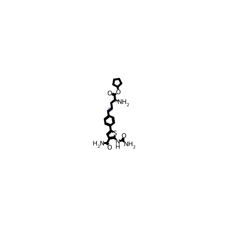 NC(=O)Nc1sc(-c2ccc(/C=C/C[C@H](N)C(=O)OC3CCCC3)cc2)cc1C(N)=O